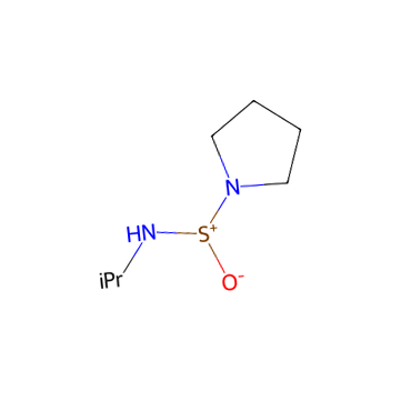 CC(C)N[S+]([O-])N1CCCC1